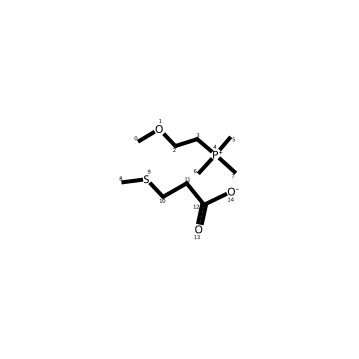 COCC[P+](C)(C)C.CSCCC(=O)[O-]